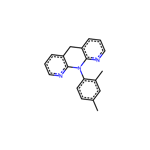 Cc1ccc(N2c3ncccc3Cc3cccnc32)c(C)c1